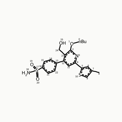 CCCCOc1nc(-c2cc(C)cs2)cc(-c2ccc(S(N)(=O)=O)cc2)c1CO